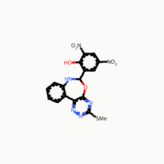 CSc1nnc2c(n1)OC(c1cc([N+](=O)[O-])cc([N+](=O)[O-])c1O)Nc1ccccc1-2